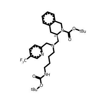 CC(C)(C)OC(=O)NCCCCN(Cc1ccc(C(F)(F)F)cn1)C[C@H]1Cc2ccccc2CN1C(=O)OC(C)(C)C